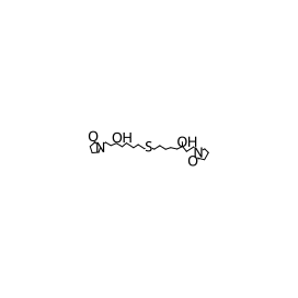 O=C1CCCN1CCC(O)CCCCCSCCCCCC(O)CCN1CCCC1=O